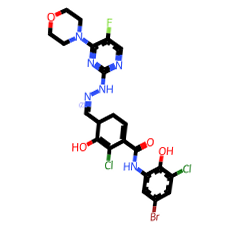 O=C(Nc1cc(Br)cc(Cl)c1O)C1=CCC(/C=N\Nc2ncc(F)c(N3CCOCC3)n2)C(O)=C1Cl